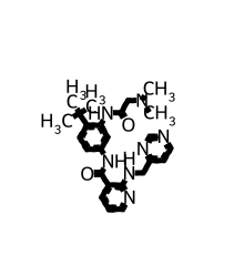 CN(C)CC(=O)Nc1cc(NC(=O)c2cccnc2NCc2ccncn2)ccc1C(C)(C)C